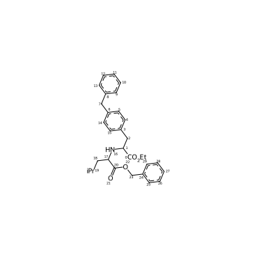 CCOC(=O)C(Cc1ccc(Cc2ccccc2)cc1)NC(CC(C)C)C(=O)OCc1ccccc1